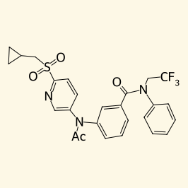 CC(=O)N(c1ccc(S(=O)(=O)CC2CC2)nc1)c1cccc(C(=O)N(CC(F)(F)F)c2ccccc2)c1